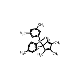 CC1=C(C)C(C)([Si](C)(c2ccc(C)cc2)c2cc(C)cc(C)c2)[C]([Ti])=C1C